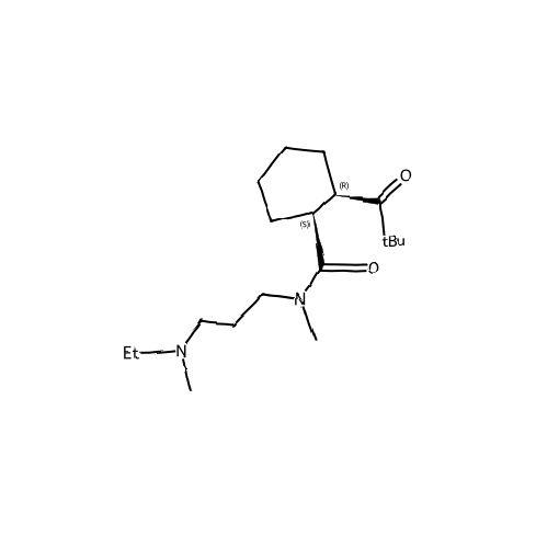 CCN(C)CCCN(C)C(=O)[C@H]1CCCC[C@H]1C(=O)C(C)(C)C